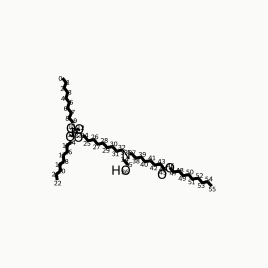 CCCCCCCCCCOP(=O)(OCCCCCCCCC)OCCCCCCCCCN(CCO)CCCCCCCC(=O)OCCCCCCCCC